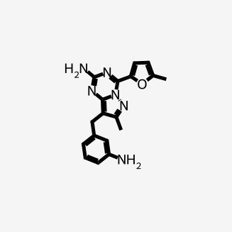 Cc1ccc(-c2nc(N)nc3c(Cc4cccc(N)c4)c(C)nn23)o1